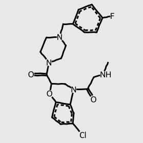 CNCC(=O)N1CC(C(=O)N2CCN(Cc3ccc(F)cc3)CC2)Oc2ccc(Cl)cc21